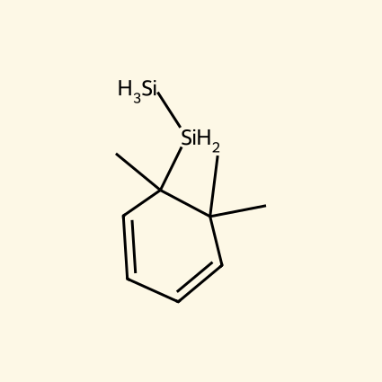 CC1(C)C=CC=CC1(C)[SiH2][SiH3]